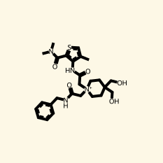 Cc1csc(C(=O)N(C)C)c1NC(=O)C[N+]1(CC(=O)NCc2ccccc2)CCC(CO)(CO)CC1